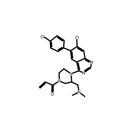 C=CC(=O)N1CCN(c2ncnc3cc(Cl)c(-c4ccc(Cl)cc4)cc23)C(CN(C)C)C1